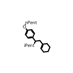 CCCCCOc1ccc(C(CC2=CCCCC2)C(C)CCC)cc1